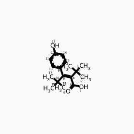 CC(C)(C)C(C(=O)O)=C(c1ccc(O)cc1)C(C)(C)C